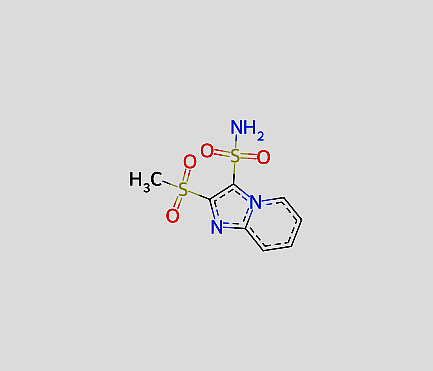 CS(=O)(=O)c1nc2ccccn2c1S(N)(=O)=O